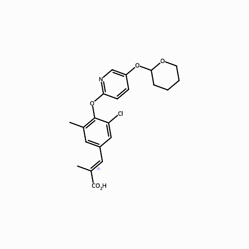 C/C(=C\c1cc(C)c(Oc2ccc(OC3CCCCO3)cn2)c(Cl)c1)C(=O)O